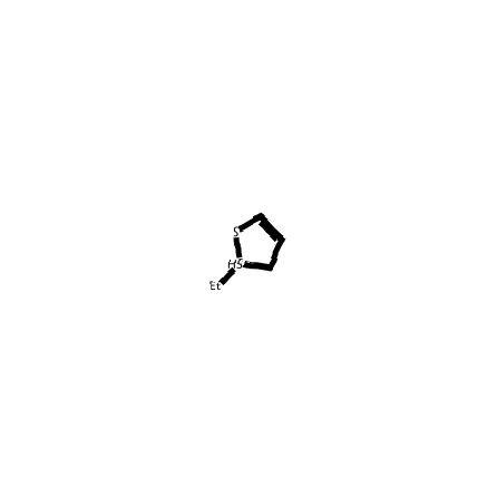 CC[SH]1CC=CS1